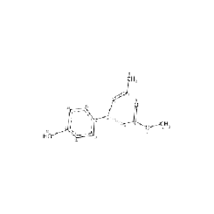 CC=C[C@H](CC(=O)OC)c1ccc(O)cc1